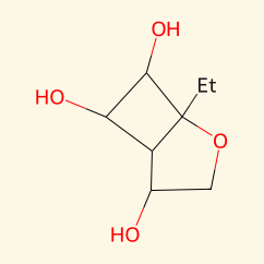 CCC12OCC(O)C1C(O)C2O